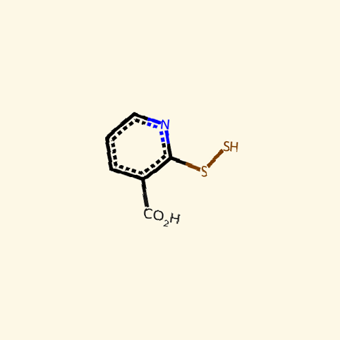 O=C(O)c1cccnc1SS